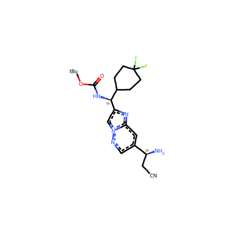 CC(C)(C)OC(=O)N[C@H](c1cn2ncc([C@@H](N)CC#N)cc2n1)C1CCC(F)(F)CC1